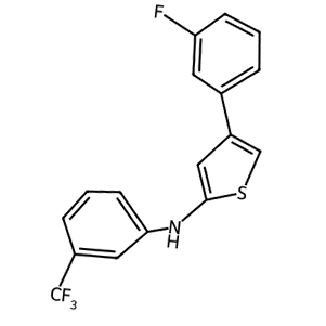 Fc1cccc(-c2csc(Nc3cccc(C(F)(F)F)c3)c2)c1